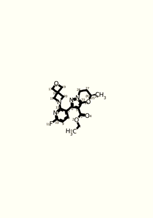 CCOC(=O)c1c(-c2ccc(F)nc2N2CC3(COC3)C2)nn2c1O[C@H](C)CC2